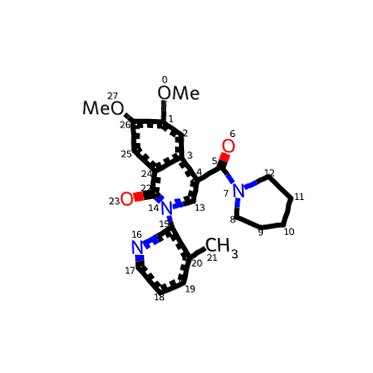 COc1cc2c(C(=O)N3CCCCC3)cn(-c3ncccc3C)c(=O)c2cc1OC